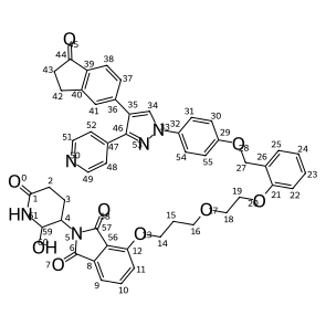 O=C1CCC(N2C(=O)c3cccc(OCCCOCCOc4ccccc4COc4ccc(-n5cc(-c6ccc7c(c6)CCC7=O)c(-c6ccncc6)n5)cc4)c3C2=O)C(O)N1